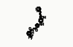 O=C(NCC(=O)N1CC[C@H](NC2CCC(O)(CCCCc3cccnn3)CC2)C1)c1cccc(C(F)(F)F)c1